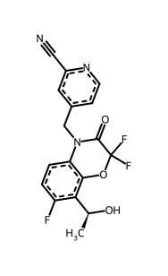 C[C@H](O)c1c(F)ccc2c1OC(F)(F)C(=O)N2Cc1ccnc(C#N)c1